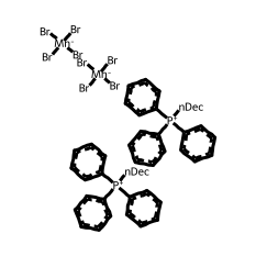 CCCCCCCCCC[P+](c1ccccc1)(c1ccccc1)c1ccccc1.CCCCCCCCCC[P+](c1ccccc1)(c1ccccc1)c1ccccc1.[Br][Mn-]([Br])([Br])[Br].[Br][Mn-]([Br])([Br])[Br]